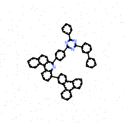 c1ccc(-c2cccc(-c3nc(-c4ccccc4)nc(-c4ccc(-c5nc6c(-c7ccc8c9ccccc9c9ccccc9c8c7)cccc6c6c5ccc5ccccc56)cc4)n3)c2)cc1